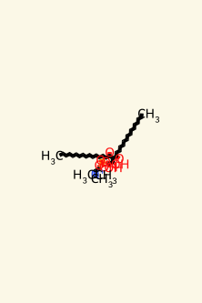 CCCCCCCCCCCCCCCC(=O)C(C(=O)CCCCCCCCCCCCCCC)C(O)C(O)OP(=O)(O)OCC[N+](C)(C)C